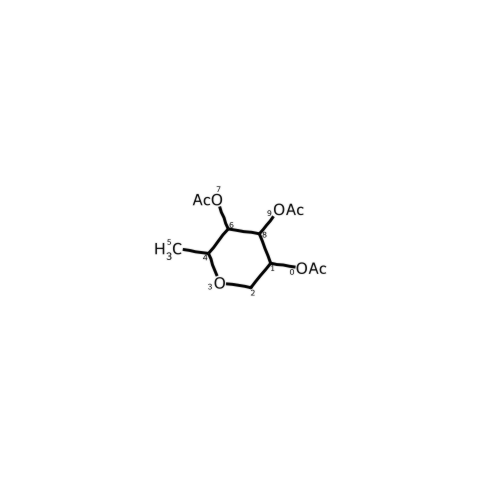 CC(=O)OC1COC(C)C(OC(C)=O)C1OC(C)=O